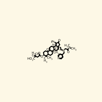 CC(C)C1=C2[C@H]3CCC4[C@@]5(C)CC[C@H](OC(=O)CC(C)(C)C(=O)O)C(C)(C)C5CC[C@@]4(C)[C@]3(C)CC[C@@]2(CCN(CC(=O)N(C)C)Cc2ccncc2)CC1=O